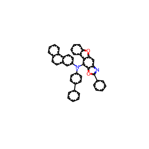 c1ccc(-c2ccc(N(c3ccc4c(ccc5ccccc54)c3)c3c4oc(-c5ccccc5)nc4cc4oc5ccccc5c34)cc2)cc1